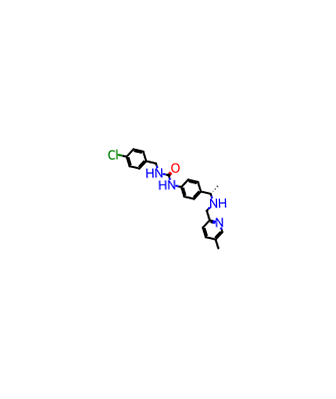 Cc1ccc(CN[C@@H](C)c2ccc(NC(=O)NCc3ccc(Cl)cc3)cc2)nc1